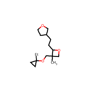 CCC1(OCC2(C)COC2CCC2CCOC2)CC1